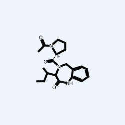 CCC(C)C1C(=O)Nc2ccccc2CN1C(=O)[C@H]1CCCN1C(C)=O